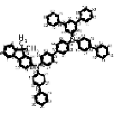 CC1(C)c2ccccc2-c2ccc(N(C3=CC=C(c4ccccc4)CC3)c3ccc(-c4ccc(N(c5ccc(-c6ccccc6)cc5)c5cc(-c6ccccc6)cc(-c6ccccc6)c5)cc4)cc3)cc21